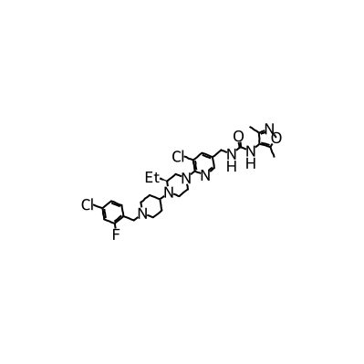 CC[C@H]1CN(c2ncc(CNC(=O)Nc3c(C)noc3C)cc2Cl)CCN1C1CCN(Cc2ccc(Cl)cc2F)CC1